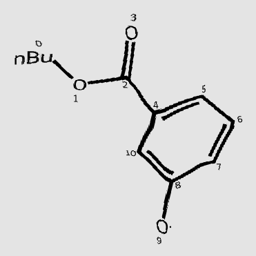 CCCCOC(=O)c1cccc([O])c1